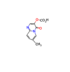 Cc1ccc2ncc(OC(=O)O)c(=O)n2c1